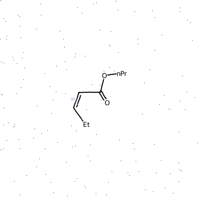 CC/C=C\C(=O)OCCC